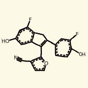 N#Cc1ccoc1C1=C(c2ccc(O)c(F)c2)Cc2c(F)cc(O)cc21